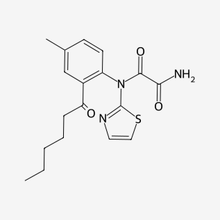 CCCCCC(=O)c1cc(C)ccc1N(C(=O)C(N)=O)c1nccs1